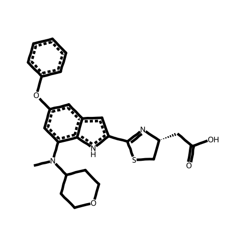 CN(c1cc(Oc2ccccc2)cc2cc(C3=N[C@H](CC(=O)O)CS3)[nH]c12)C1CCOCC1